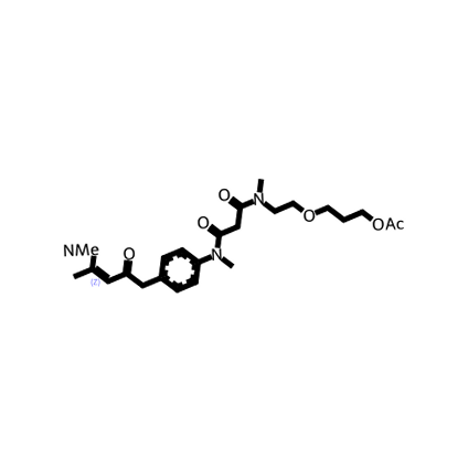 CN/C(C)=C\C(=O)Cc1ccc(N(C)C(=O)CC(=O)N(C)CCOCCCOC(C)=O)cc1